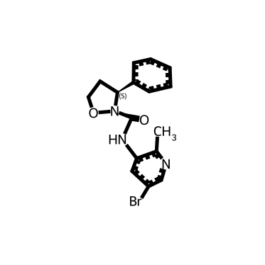 Cc1ncc(Br)cc1NC(=O)N1OCC[C@H]1c1ccccc1